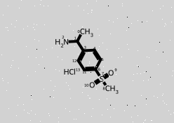 CC(N)c1ccc(S(C)(=O)=O)cc1.Cl